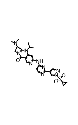 CC(C)Nc1cc(Nc2ccnc(-c3cnn(S(=O)(=O)C4CC4)c3)n2)ncc1C(=O)N1CC(N(C)C)C1